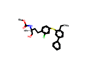 CCC[C@@](CO)(CCc1ccc(Sc2cc(-c3ccccc3)ccc2COC)cc1Cl)NC(=O)OC(C)(C)C